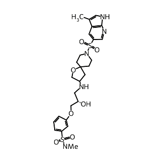 CNS(=O)(=O)c1cccc(OC[C@@H](O)CN[C@H]2COC3(CCN(S(=O)(=O)c4cnc5[nH]cc(C)c5c4)CC3)C2)c1